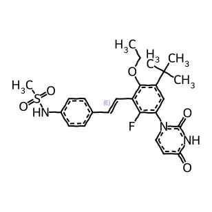 CCOc1c(C(C)(C)C)cc(-n2ccc(=O)[nH]c2=O)c(F)c1/C=C/c1ccc(NS(C)(=O)=O)cc1